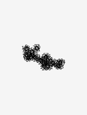 c1ccc(-c2cc(-c3ccccc3)cc(N(c3ccc(-c4ccc(N(c5cccc6ccccc56)c5cc(-c6ccc(-c7cccc8ccccc78)cc6)cc6ccccc56)cc4)cc3)c3cccc4ccccc34)c2)cc1